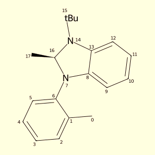 Cc1ccccc1N1c2ccccc2N(C(C)(C)C)[C@@H]1C